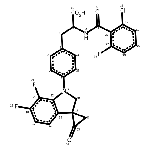 O=C(NC(Cc1ccc(N2CC3(CC3=O)c3ccc(F)c(F)c32)cc1)C(=O)O)c1c(F)cccc1Cl